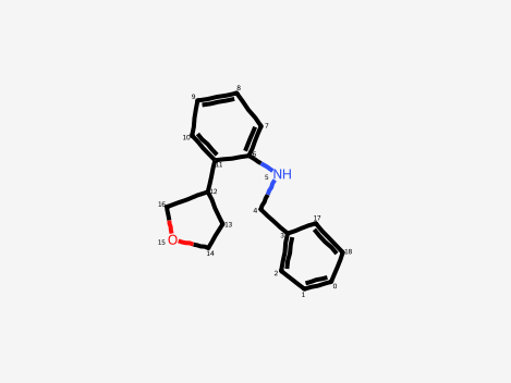 c1ccc(CNc2ccccc2C2CCOC2)cc1